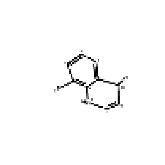 Fc1cccc2c1NC=[C]C2Cl